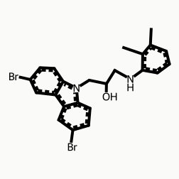 Cc1cccc(NCC(O)Cn2c3ccc(Br)cc3c3cc(Br)ccc32)c1C